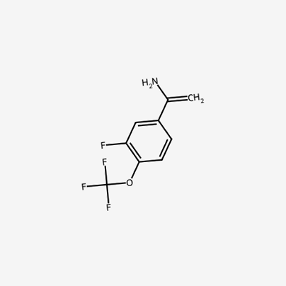 C=C(N)c1ccc(OC(F)(F)F)c(F)c1